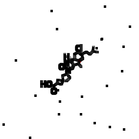 CC(C)CCc1ccc([C@]2(C)NC(=O)N(C3CCC4(CC(C(=O)O)C4)C3)C=C2C(C)C)cc1Cl